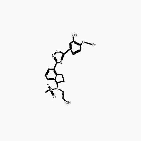 CC(C)Oc1ccc(-c2nc(-c3cccc4c3CCC4N(CCO)S(C)(=O)=O)no2)cc1C#N